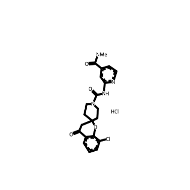 CNC(=O)c1ccnc(NC(=O)N2CCC3(CC2)CC(=O)c2cccc(Cl)c2O3)c1.Cl